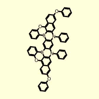 c1ccc(Oc2ccc3c4c5c(cc3c2)N(c2ccccc2)c2cc3c(cc2B5c2ccccc2O4)B2c4ccccc4Oc4c2c(cc2cc(Oc5ccccc5)ccc42)N3c2ccccc2)cc1